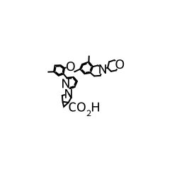 Cc1ccc(OCc2cc(C)c3c(c2)CCN(C2CCOCC2)C3)c(-c2cccc(N3CC4C[C@]4(C(=O)O)C3)n2)c1